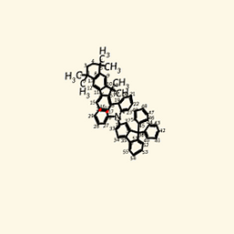 CC1(C)CCC(C)(C)c2cc3c(cc21)-c1cccc(-c2ccccc2N(c2ccccc2)c2ccc4c(c2)C(c2ccccc2)(c2ccccc2)c2ccccc2-4)c1C3(C)C